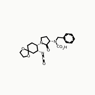 O=C=N[C@@H]1CC2(CC[C@@H]1N1CC[C@H](N(Cc3ccccc3)C(=O)O)C1=O)OCCO2